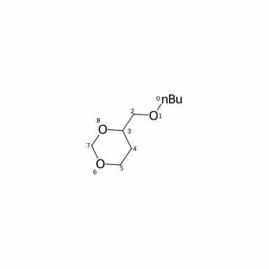 CCCCOCC1CCOCO1